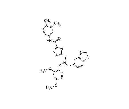 COc1ccc(CN(Cc2ccc3c(c2)OCO3)Cc2nc(C(=O)Nc3ccc(C)c(C)c3)cs2)c(OC)c1